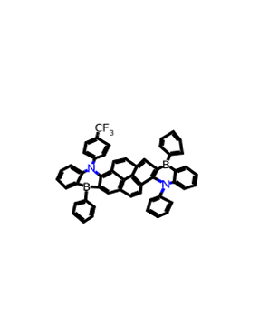 FC(F)(F)c1ccc(N2c3ccccc3B(c3ccccc3)c3cc4ccc5c6c(cc7ccc(c32)c4c75)B(c2ccccc2)c2ccccc2N6c2ccccc2)cc1